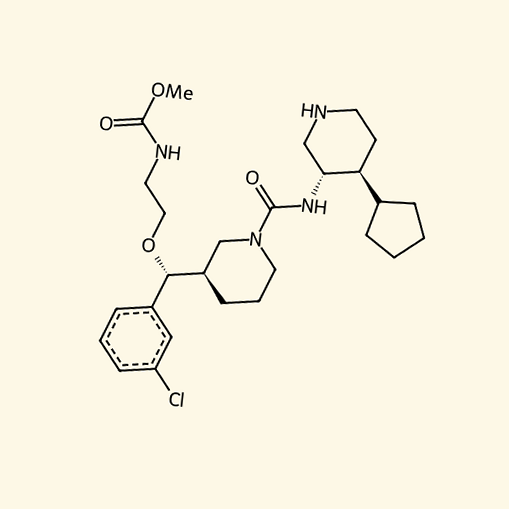 COC(=O)NCCO[C@@H](c1cccc(Cl)c1)[C@@H]1CCCN(C(=O)N[C@@H]2CNCC[C@H]2C2CCCC2)C1